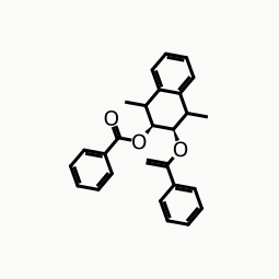 C=C(O[C@@H]1C(C)c2ccccc2C(C)[C@@H]1OC(=O)c1ccccc1)c1ccccc1